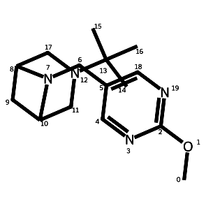 COc1ncc(CN2C3CC2CN(C(C)(C)C)C3)cn1